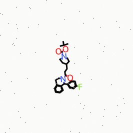 CC(C)(C)OC(=O)N1CCC(CCC(=O)N2CCc3ccccc3C2c2ccc(F)cc2)CC1